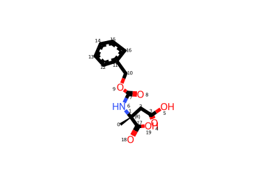 C[C@](CC(=O)O)(NC(=O)OCc1ccccc1)C(=O)O